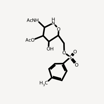 CC(=O)NC1NOC(COS(=O)(=O)c2ccc(C)cc2)C(O)C1OC(C)=O